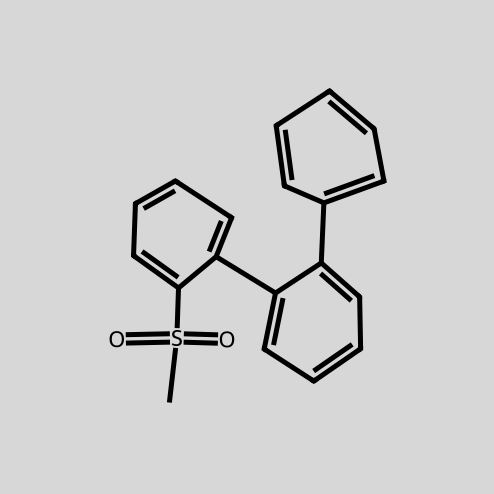 CS(=O)(=O)c1ccccc1-c1ccccc1-c1ccccc1